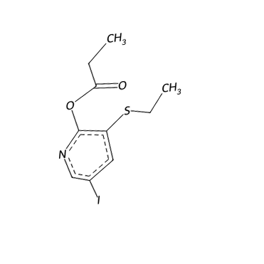 CCSc1cc(I)cnc1OC(=O)CC